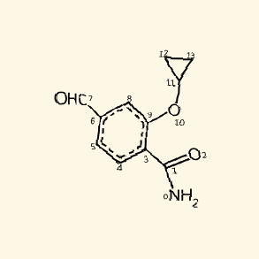 NC(=O)c1ccc(C=O)cc1OC1CC1